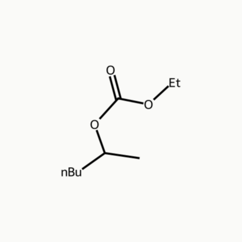 CCCCC(C)OC(=O)OCC